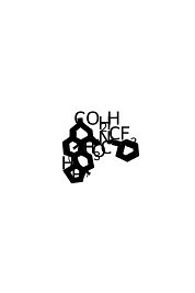 C[C@@]12CCC[C@H]1[C@@H]1C=CC3=CC(C(=O)O)CC(C(=O)NC(c4ccccc4)(C(F)(F)F)C(F)(F)F)[C@]3(C)[C@H]1CC2